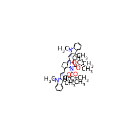 CN1/C(=C/C=C2\CCC(/C=C/C3=[N+](C)c4ccccc4C3(C)C)=C2N(C(=O)OC(C)(C)C)C(=O)OC(C)(C)C)C(C)(C)c2ccccc21